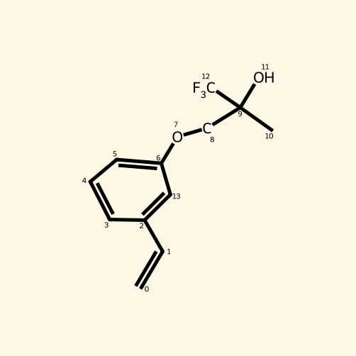 C=Cc1cccc(OCC(C)(O)C(F)(F)F)c1